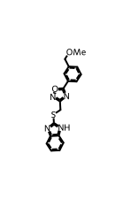 COCc1cccc(-c2nc(CSc3nc4ccccc4[nH]3)no2)c1